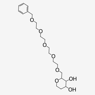 OC1CCOC(COCCOCCOCCOCCOCc2ccccc2)C1O